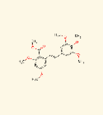 COC(=O)c1c(/C=C/c2cc(OC)c(OC)c(OC)c2)cc(OC)cc1OC